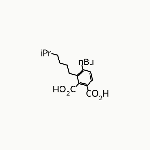 CCCCc1ccc(C(=O)O)c(C(=O)O)c1CCCCC(C)C